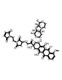 COc1cccc2c1C(=O)c1c(O)c3c(c(O)c1C2=O)C[C@@](O)(C(=O)CSC1CC(=O)N(CCN2C(=O)C=CC2=O)C1=O)C[C@@H]3O[C@H]1C[C@H]2[C@H](O[C@@H]3[C@@H](C)OCCN32)[C@H](C)O1